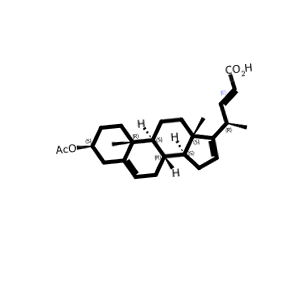 CC(=O)O[C@H]1CC[C@@]2(C)C(=CC[C@@H]3[C@@H]2CC[C@]2(C)C([C@H](C)/C=C/C(=O)O)=CC[C@@H]32)C1